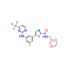 Cc1cc(Nc2nccc(C(F)(F)F)n2)cc(-c2cnc(C(=O)NCC3COCCO3)s2)c1